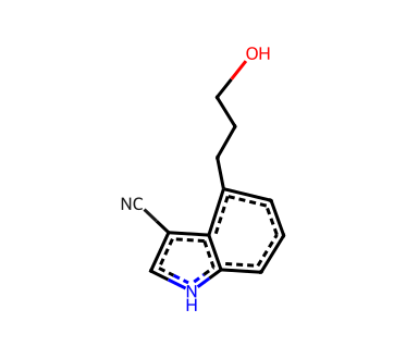 N#Cc1c[nH]c2cccc(CCCO)c12